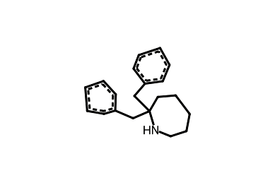 c1ccc(CC2(Cc3ccccc3)CCCCCN2)cc1